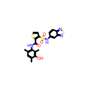 Cc1cc(C)c(NC(=O)c2sccc2S(=O)(=O)Nc2ccc3nsnc3c2)c(C)c1O